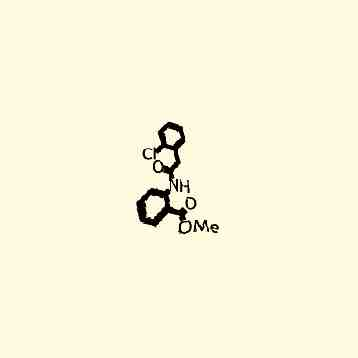 COC(=O)c1ccccc1NC(=O)Cc1ccccc1Cl